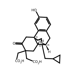 O=C(O)CC1(CC(=O)O)C[C@@]2(O)[C@H]3Cc4ccc(O)cc4[C@@]2(CCN3CC2CC2)CC1=O